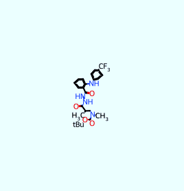 CC(CN(C)C(=O)OC(C)(C)C)C(=O)NNC(=O)c1ccccc1Nc1ccc(C(F)(F)F)cc1